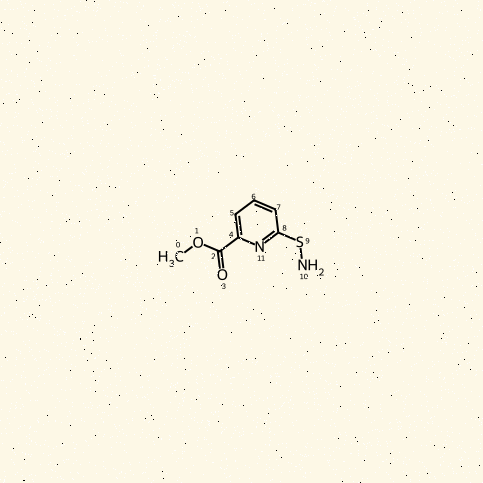 COC(=O)c1cccc(SN)n1